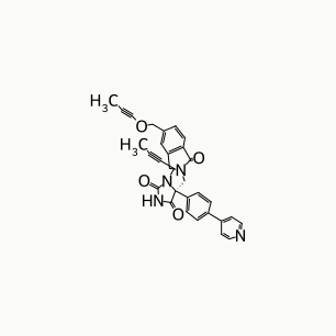 CC#CCN1C(=O)NC(=O)[C@]1(CN1Cc2cc(COC#CC)ccc2C1=O)c1ccc(-c2ccncc2)cc1